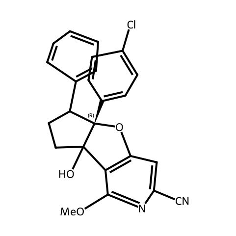 COc1nc(C#N)cc2c1C1(O)CCC(c3ccccc3)[C@]1(c1ccc(Cl)cc1)O2